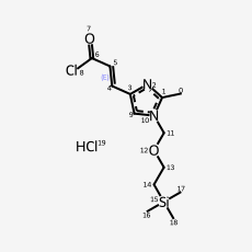 Cc1nc(/C=C/C(=O)Cl)cn1COCC[Si](C)(C)C.Cl